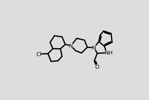 O=CC1Nc2ccccc2N1C1CCN(C2CCCC3C(Cl)CCCC32)CC1